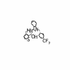 Cc1ccsc1C(O)Nc1cn(Cc2ccc(C(F)(F)F)cc2)c2ccccc12